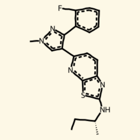 CC[C@@H](C)Nc1nc2ccc(-c3cn(C)nc3-c3ccccc3F)nc2s1